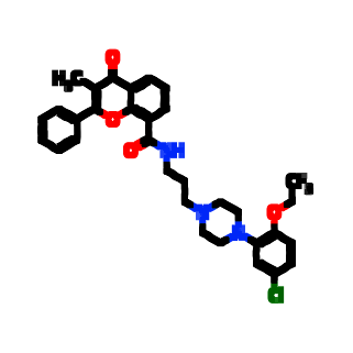 Cc1c(-c2ccccc2)oc2c(C(=O)NCCCN3CCN(c4cc(Cl)ccc4OCC(F)(F)F)CC3)cccc2c1=O